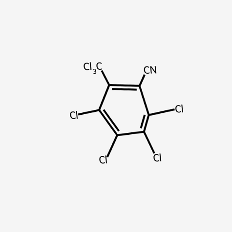 N#Cc1c(Cl)c(Cl)c(Cl)c(Cl)c1C(Cl)(Cl)Cl